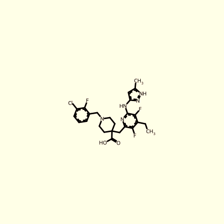 CCc1c(F)c(CC2(C(=O)O)CCN(Cc3cccc(Cl)c3F)CC2)nc(Nc2cc(C)[nH]n2)c1F